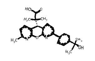 Cc1ccc2c(n1)Oc1nc(-c3ccc(C(C)(C)O)cc3)ccc1[C@H]2C(C)(C)C(=O)O